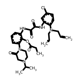 C=CCN(CC=C)c1ccc(Cl)cc1NC(=O)C(=O)Nc1cccc(N2CCN(C(C)C)CC2=O)c1OC(=O)CC